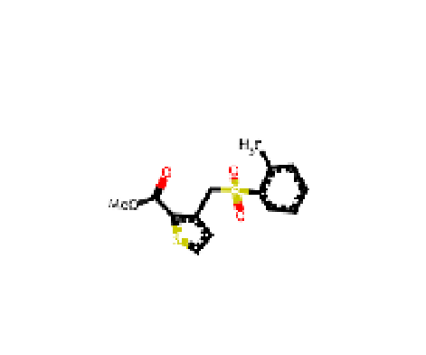 COC(=O)c1sccc1CS(=O)(=O)c1ccccc1C